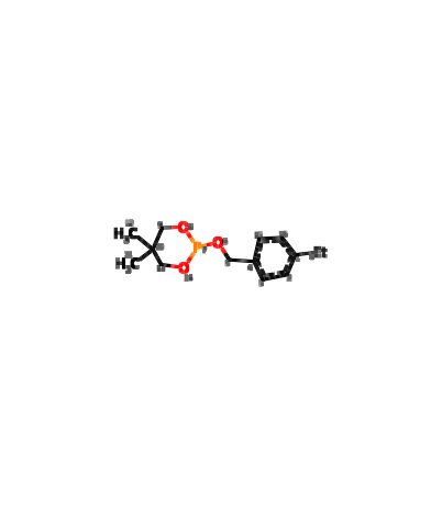 CCc1ccc(COP2OCC(C)(C)CO2)cc1